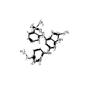 COc1ccc(Nc2cc(Nc3ncccc3S(C)(=O)=O)c3nc(C)[nH]c3n2)nn1